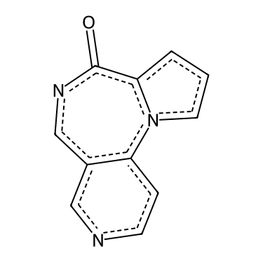 O=c1ncc2cnccc2n2cccc12